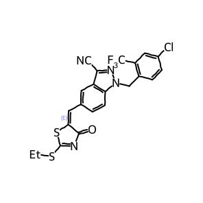 CCSC1=NC(=O)/C(=C\c2ccc3c(c2)c(C#N)nn3Cc2ccc(Cl)cc2C(F)(F)F)S1